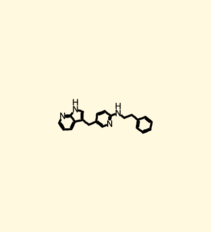 c1ccc(CCNc2ccc(Cc3c[nH]c4ncccc34)cn2)cc1